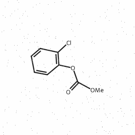 COC(=O)Oc1ccc[c]c1Cl